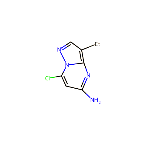 CCc1cnn2c(Cl)cc(N)nc12